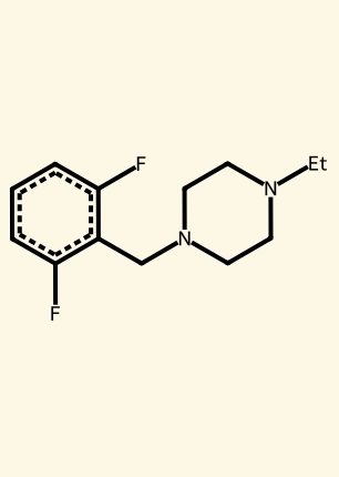 CCN1CCN(Cc2c(F)cccc2F)CC1